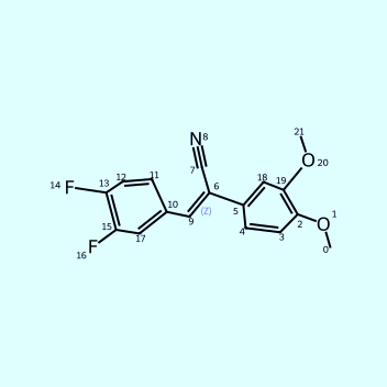 COc1ccc(/C(C#N)=C/c2ccc(F)c(F)c2)cc1OC